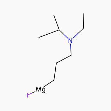 CCN(CC[CH2][Mg][I])C(C)C